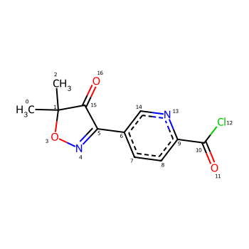 CC1(C)ON=C(c2ccc(C(=O)Cl)nc2)C1=O